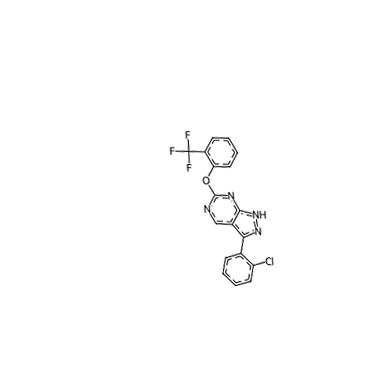 FC(F)(F)c1ccccc1Oc1ncc2c(-c3ccccc3Cl)n[nH]c2n1